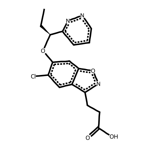 CC[C@H](Oc1cc2onc(CCC(=O)O)c2cc1Cl)c1cccnn1